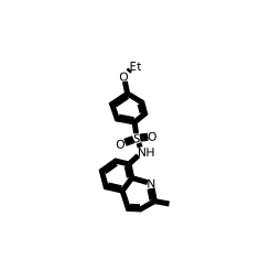 CCOc1ccc(S(=O)(=O)Nc2cccc3ccc(C)nc23)cc1